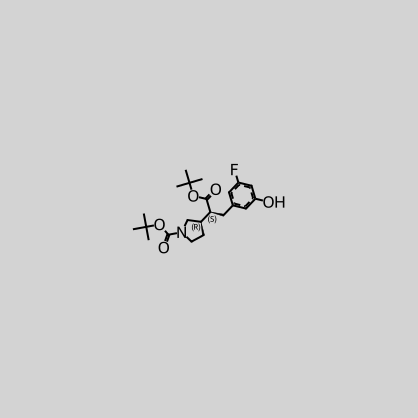 CC(C)(C)OC(=O)[C@@H](Cc1cc(O)cc(F)c1)[C@H]1CCN(C(=O)OC(C)(C)C)C1